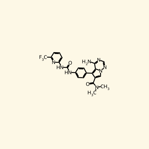 CN(C)C(=O)c1cn2ncnc(N)c2c1-c1ccc(NC(=O)Nc2cccc(C(F)(F)F)n2)cc1